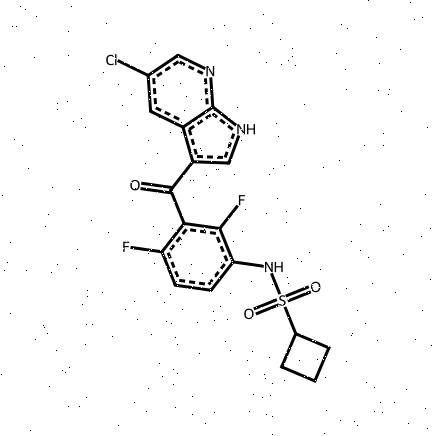 O=C(c1c(F)ccc(NS(=O)(=O)C2CCC2)c1F)c1c[nH]c2ncc(Cl)cc12